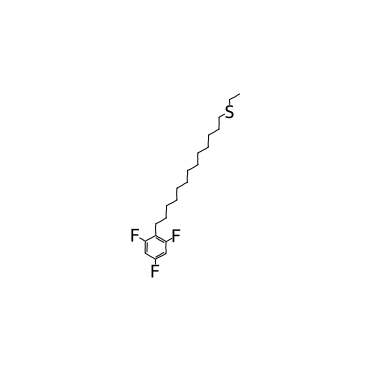 CCSCCCCCCCCCCCCCc1c(F)cc(F)cc1F